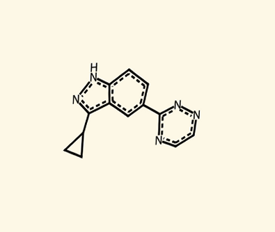 c1cnc(-c2ccc3[nH]nc(C4CC4)c3c2)nn1